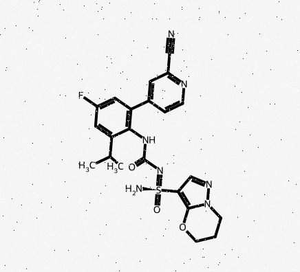 CC(C)c1cc(F)cc(-c2ccnc(C#N)c2)c1NC(=O)N=[S@@](N)(=O)c1cnn2c1OCCC2